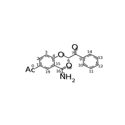 CC(=O)c1ccc(OCC(=O)c2ccccc2)c(C(N)=O)c1